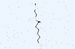 CC(C)(C)CCCCCC(=O)NCCNC(C)(C)C